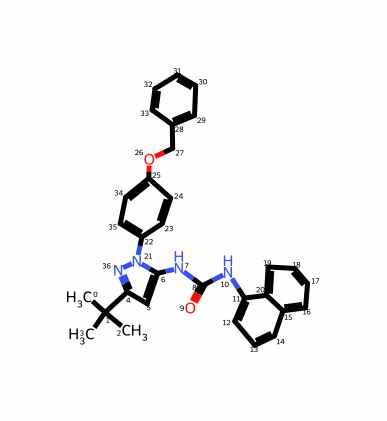 CC(C)(C)c1cc(NC(=O)Nc2cccc3ccccc23)n(-c2ccc(OCc3ccccc3)cc2)n1